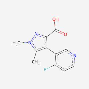 Cc1c(-c2cnccc2F)c(C(=O)O)nn1C